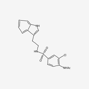 CC(=O)Nc1ccc(S(=O)(=O)NCCc2c[nH]c3ccccc23)cc1Cl